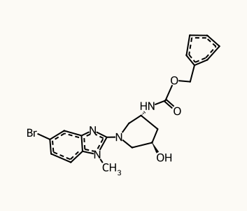 Cn1c(N2C[C@H](O)C[C@@H](NC(=O)OCc3ccccc3)C2)nc2cc(Br)ccc21